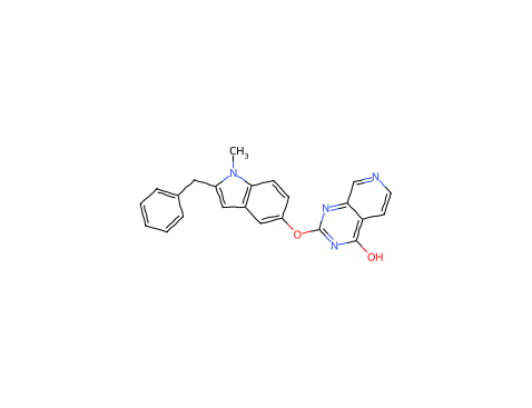 Cn1c(Cc2ccccc2)cc2cc(Oc3nc(O)c4ccncc4n3)ccc21